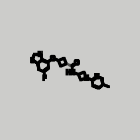 Cc1ccc(N2CC(NC(=O)[C@H]3C[C@H](Oc4cc(F)cc5scnc45)C3)C2)nc1